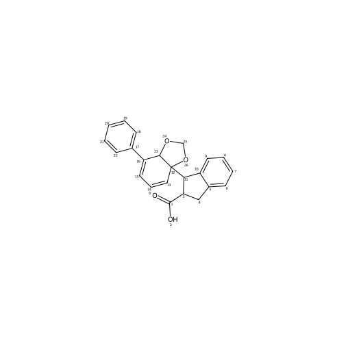 O=C(O)C1Cc2ccccc2C1C12C=CC=C(c3ccccc3)C1OCO2